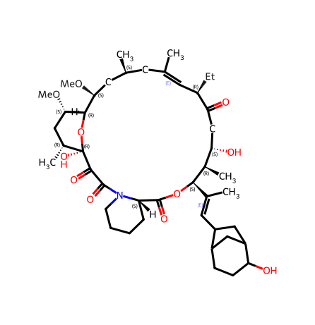 CC[C@@H]1/C=C(\C)C[C@H](C)C[C@H](OC)[C@H]2O[C@@](O)(C(=O)C(=O)N3CCCC[C@H]3C(=O)O[C@H](/C(C)=C/C3CC4CC3CCC4O)[C@H](C)[C@@H](O)CC1=O)[C@H](C)C[C@@H]2OC